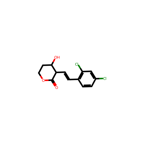 O=C1OCCC(O)C1C=Cc1ccc(Cl)cc1Cl